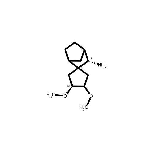 COC1CC2(C[C@@H]1OC)C1CCC(C1)[C@@H]2N